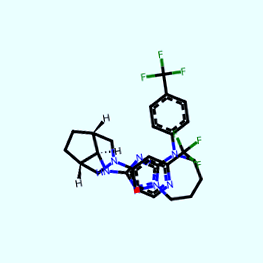 FC(F)(F)c1ccc(N2CCCCn3nc(N[C@@H]4[C@@H]5CC[C@H]4CN(c4ccnc(C(F)(F)F)c4)C5)nc32)cc1